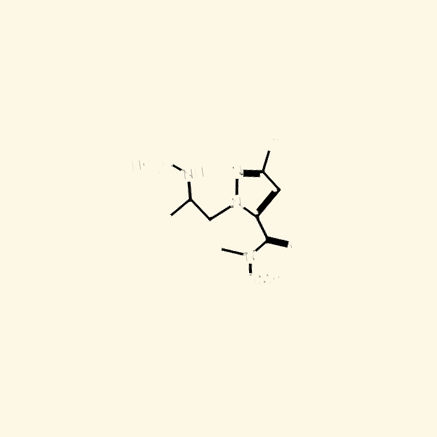 CON(C)C(=O)c1cc(Br)nn1CC(C)NC(=O)O